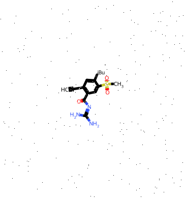 C#Cc1cc(C(C)CC)c(S(C)(=O)=O)cc1C(=O)N=C(N)N